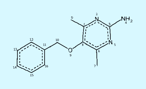 Cc1nc(N)nc(C)c1OCc1ccccc1